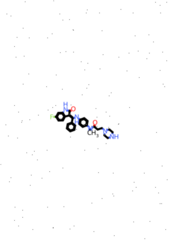 CN(C(=O)CCN1CCNCC1)c1ccc(N/C(=C2\C(=O)Nc3cc(F)ccc32)c2ccccc2)cc1